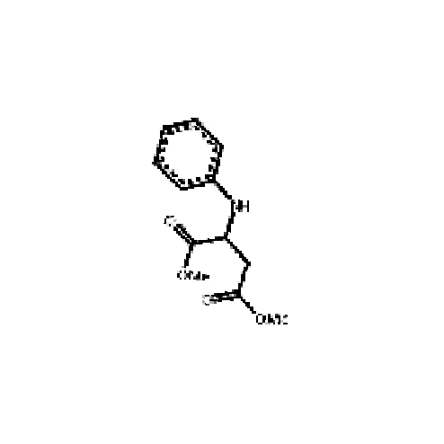 COC(=O)CC(Nc1ccccc1)C(=O)OC